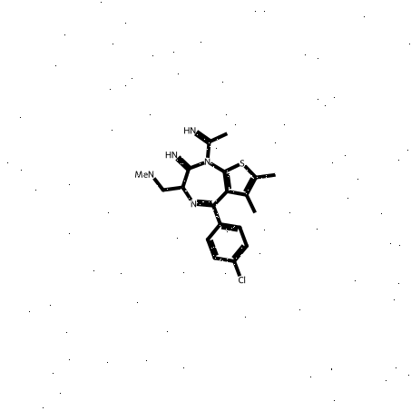 CNCC1N=C(c2ccc(Cl)cc2)c2c(sc(C)c2C)N(C(C)=N)C1=N